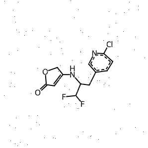 O=C1C=C(NC(Cc2ccc(Cl)nc2)C(F)F)CO1